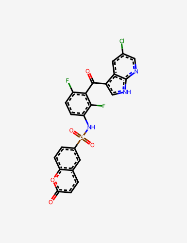 O=C(c1c(F)ccc(NS(=O)(=O)c2ccc3oc(=O)ccc3c2)c1F)c1c[nH]c2ncc(Cl)cc12